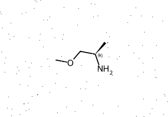 [CH2][C@@H](N)COC